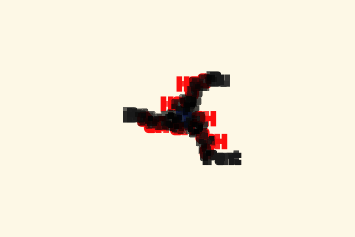 CCCC(C)OCC(O)COc1ccc(-c2nc(-c3ccc(OCC(O)COC(C)CC)cc3O)nc(-c3ccc(OCC(O)COC(C)CC)cc3O)n2)c(O)c1